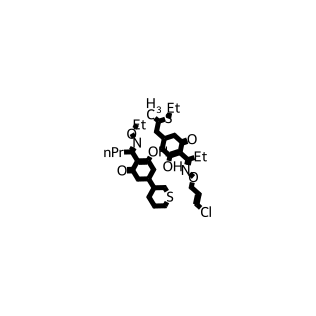 CCC/C(=N\OCC)C1=C(O)CC(C2CCCSC2)CC1=O.CCSC(C)CC1CC(=O)C(/C(CC)=N/OC/C=C/Cl)=C(O)C1